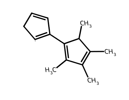 CC1=C(C)C(C)C(C2=[C]CC=C2)=C1C